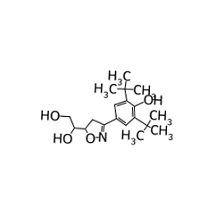 CC(C)(C)c1cc(C2=NOC(C(O)CO)C2)cc(C(C)(C)C)c1O